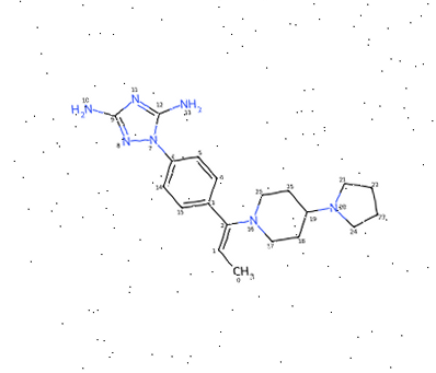 CC=C(c1ccc(-n2nc(N)nc2N)cc1)N1CCC(N2CCCC2)CC1